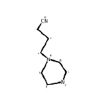 N#CCCCN1CC[N]CC1